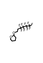 FC(F)(F)C(F)(F)C(F)(F)C(F)(F)CCOC1CCCCO1